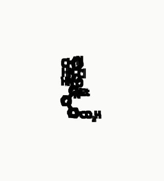 CCn1nc(-c2cccc(-c3cccc(C(=O)O)c3)c2)cc(NC(=O)Nc2c(Cl)cncc2Cl)c1=O